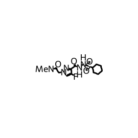 CNC(=O)Cn1cc(F)c(C(=O)NNS(=O)(=O)C2CCCCC2)n1